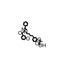 COc1cccc(C(=O)c2nc(-c3ccccc3)cn2CCCCc2cccc(O[C@@H](C)C(=O)O)c2)c1